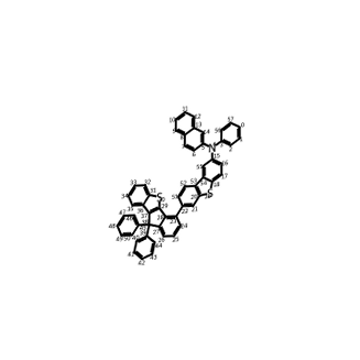 c1ccc(N(c2ccc3ccccc3c2)c2ccc3sc4cc(-c5cccc6c5-c5sc7ccccc7c5C6(c5ccccc5)c5ccccc5)ccc4c3c2)cc1